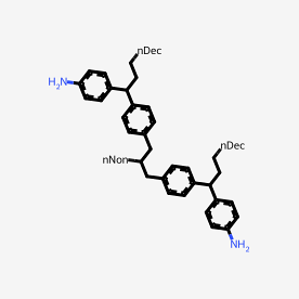 CCCCCCCCCCCCC(c1ccc(N)cc1)c1ccc(CC(CCCCCCCCC)Cc2ccc(C(CCCCCCCCCCCC)c3ccc(N)cc3)cc2)cc1